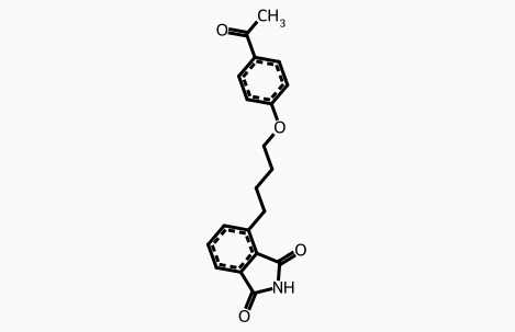 CC(=O)c1ccc(OCCCCc2cccc3c2C(=O)NC3=O)cc1